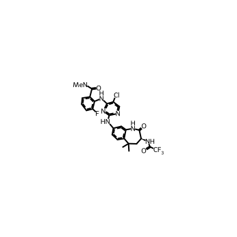 CNC(=O)c1cccc(F)c1Nc1nc(Nc2ccc3c(c2)NC(=O)[C@@H](NC(=O)C(F)(F)F)CC3(C)C)ncc1Cl